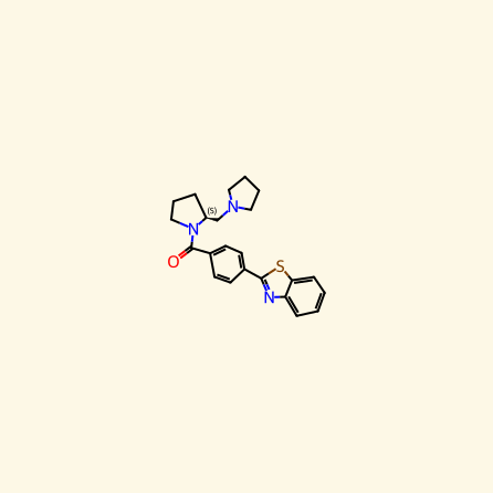 O=C(c1ccc(-c2nc3ccccc3s2)cc1)N1CCC[C@H]1CN1CCCC1